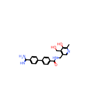 Cc1ncc(CNC(=O)c2ccc(-c3ccc(C(=N)N)cc3)cc2)c(CO)c1O